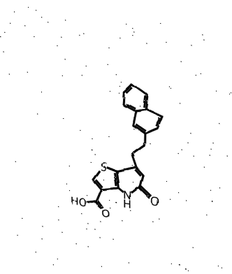 O=C(O)c1csc2c(CCc3ccc4ccccc4c3)cc(=O)[nH]c12